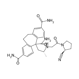 C[C@H](CC1(C(N)=O)c2ccc(C(N)=O)cc2CCc2cc(C(N)=O)ccc21)NCC(=O)N1CCC[C@H]1C#N